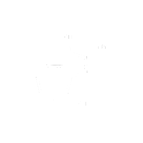 CCCc1cc2c(C)ccccc-2c1C